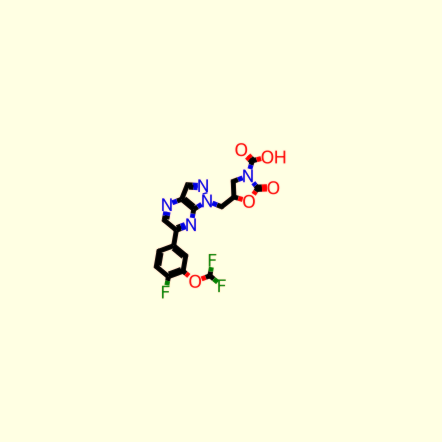 O=C(O)N1CC(Cn2ncc3ncc(-c4ccc(F)c(OC(F)F)c4)nc32)OC1=O